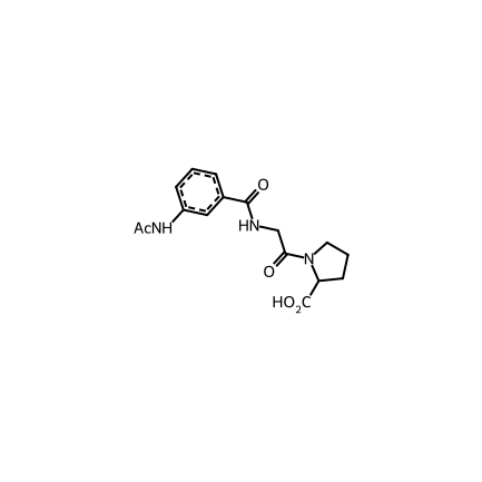 CC(=O)Nc1cccc(C(=O)NCC(=O)N2CCCC2C(=O)O)c1